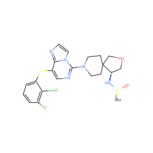 CC(C)(C)[S+]([O-])N[C@@H]1COCC12CCN(c1ncc(Sc3cccc(Cl)c3Cl)c3nccn13)CC2